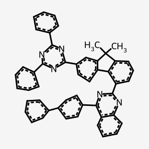 CC1(C)c2cc(-c3nc(-c4ccccc4)nc(-c4ccccc4)n3)ccc2-c2c(-c3nc(-c4ccc(-c5ccccc5)cc4)c4ccccc4n3)cccc21